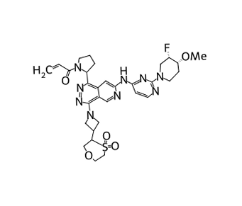 C=CC(=O)N1CCCC1c1nnc(N2CC(C3COCCS3(=O)=O)C2)c2cnc(Nc3ccnc(N4CC[C@@H](OC)[C@@H](F)C4)n3)cc12